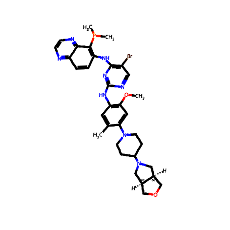 COc1cc(N2CCC(N3C[C@H]4COC[C@H]4C3)CC2)c(C)cc1Nc1ncc(Br)c(Nc2ccc3nccnc3c2P(C)C)n1